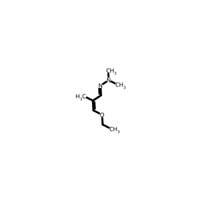 CCOC=C(C)C=NN(C)C